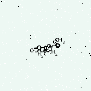 C=C[C@]1(OC(=O)CCc2ccccc2OC)CCC2C3CCC4=CC(=O)CCC4C3CC[C@@]21CC